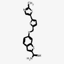 Cc1ncc(-c2ccc(COc3ccc4cc(C(=N)N)sc4c3)s2)s1